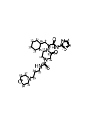 O=C(Nc1nccs1)[C@H](CC1CCCCC1)N1CCN(C(=S)NCCCN2CCOCC2)CC1=O